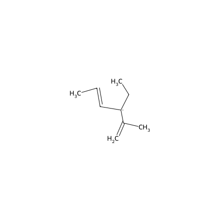 C=C(C)[C](C=CC)CC